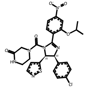 CC(C)Oc1cc([N+](=O)[O-])ccc1C1=N[C@@H](c2ccc(Cl)cc2)[C@@H](c2ccns2)N1C(=O)N1CCNC(=O)C1